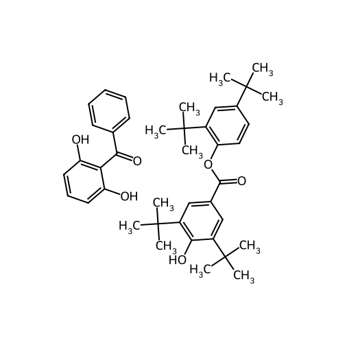 CC(C)(C)c1ccc(OC(=O)c2cc(C(C)(C)C)c(O)c(C(C)(C)C)c2)c(C(C)(C)C)c1.O=C(c1ccccc1)c1c(O)cccc1O